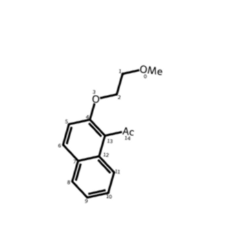 COCCOc1ccc2ccccc2c1C(C)=O